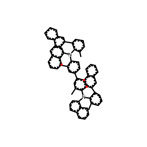 Cc1cc(-c2ccc(N(c3c(C)cccc3-c3ccc4ccccc4c3)c3cccc4ccccc34)c(C)c2)ccc1N(c1c(C)cccc1-c1ccc2ccccc2c1)c1cccc2ccccc12